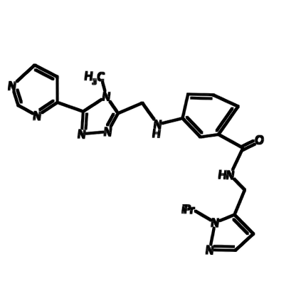 CC(C)n1nccc1CNC(=O)c1cccc(NCc2nnc(-c3ccncn3)n2C)c1